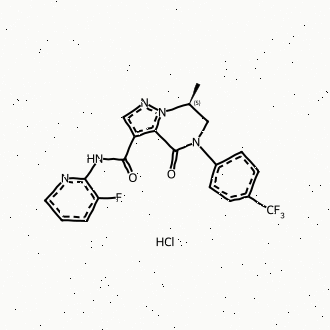 C[C@H]1CN(c2ccc(C(F)(F)F)cc2)C(=O)c2c(C(=O)Nc3ncccc3F)cnn21.Cl